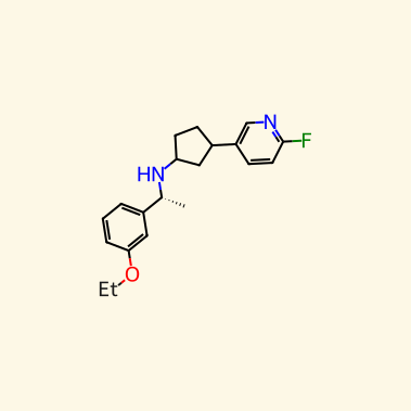 CCOc1cccc([C@@H](C)NC2CCC(c3ccc(F)nc3)C2)c1